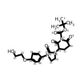 CC(C)(C)OC(=O)N1C(=O)CCC(N2CCN(c3ccc(OCCO)cc3)C2=O)C1=O